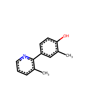 Cc1cc(-c2ncccc2C)ccc1O